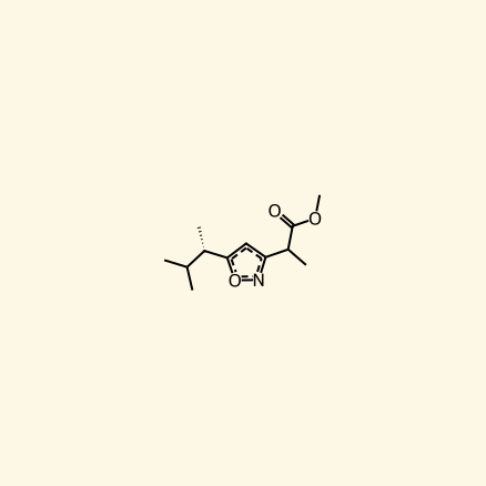 COC(=O)C(C)c1cc([C@@H](C)C(C)C)on1